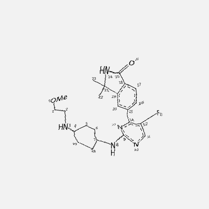 COCCNC1CCC(Nc2ncc(F)c(-c3ccc4c(c3)C(C)(C)NC4=O)n2)CC1